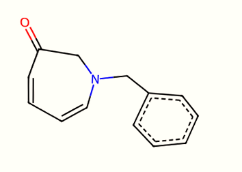 O=C1C=CC=CN(Cc2ccccc2)C1